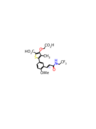 COc1ccc(-c2sc(C(=O)O)c(OCC(=O)O)c2C)cc1/C=C/C(=O)NCC(F)(F)F